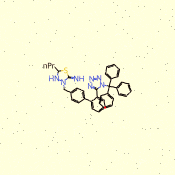 CCCC1NN(Cc2ccc(-c3ccccc3-c3nnnn3C(c3ccccc3)(c3ccccc3)c3ccccc3)cc2)C(=N)S1